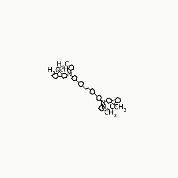 Cc1cccc(N(c2ccc(-c3ccc(/C=C/c4ccc(-c5ccc(N(c6cccc(C)c6)c6ccc7c(c6)C(C)(C)c6ccccc6-7)cc5)cc4)cc3)cc2)c2ccc3c(c2)C(C)(C)c2ccccc2-3)c1